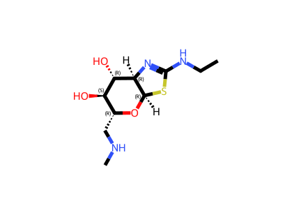 CCNC1=N[C@@H]2[C@@H](O)[C@H](O)[C@@H](CNC)O[C@@H]2S1